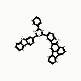 c1ccc(C2=NC(c3ccc4c(c3)oc3ccccc34)NC(c3ccc4oc5c6cccc7c6c(cc5c4c3)-c3ccccc3-7)=N2)cc1